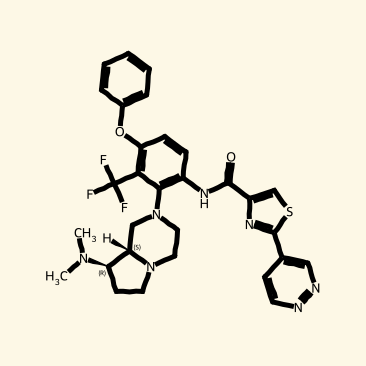 CN(C)[C@@H]1CCN2CCN(c3c(NC(=O)c4csc(-c5ccnnc5)n4)ccc(Oc4ccccc4)c3C(F)(F)F)C[C@@H]12